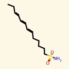 CCC=CC=CC=CCCCCCS(N)(=O)=O